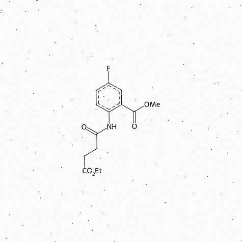 CCOC(=O)CCC(=O)Nc1ccc(F)cc1C(=O)OC